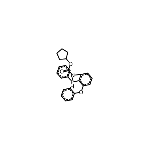 O=C(OC1CCCC1)N1c2cccc3c2[PH]1(c1ccccc1)c1ccccc1O3